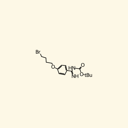 CC(C)(C)OC(=O)NC(=N)c1ccc(OCCCCBr)cc1